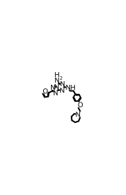 Nc1nc(NCCc2ccc(OCCN3CCCCCC3)cc2)nc2nc(-c3ccco3)nn12